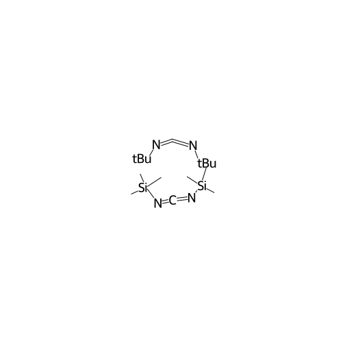 CC(C)(C)N=C=NC(C)(C)C.C[Si](C)(C)N=C=N[Si](C)(C)C